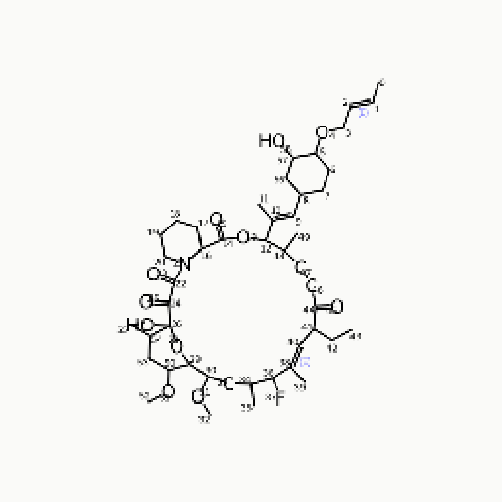 C/C=C/COC1CCC(C=C(C)C2OC(=O)C3CCCCN3C(=O)C(=O)C3(O)OC(C(OC)CC(C)C(F)/C(C)=C/C(CC)C(=O)CCC2C)C(OC)CC3C)CC1O